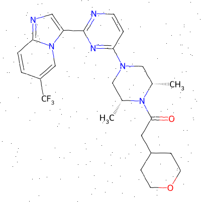 C[C@@H]1CN(c2ccnc(-c3cnc4ccc(C(F)(F)F)cn34)n2)C[C@H](C)N1C(=O)CC1CCOCC1